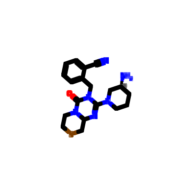 N#Cc1ccccc1CN1C(=O)N2CCSCC2N=C1N1CCC[C@@H](N)C1